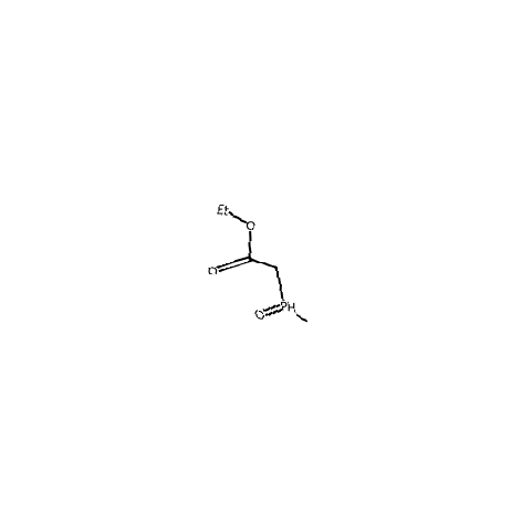 CCOC(=O)C[PH](C)=O